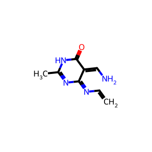 C=C/N=C1/N=C(C)NC(=O)/C1=C/N